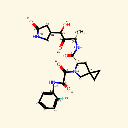 C[C@H](NC(=O)[C@@H]1CC2(CC2)CN1C(=O)C(=O)Nc1ccccc1F)C(=O)C(O)C1CNC(=O)C1